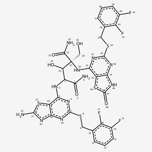 NC(=O)C(Nc1nc(SCc2cccc(F)c2F)nc2nc(N)sc12)C(O)[C@](CO)(Nc1nc(SCc2cccc(F)c2F)nc2[nH]c(=O)sc12)C(N)=O